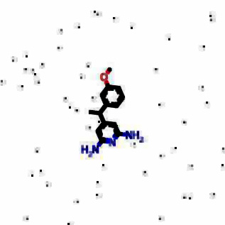 COc1cccc(C(C)c2cc(N)nc(N)c2)c1